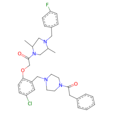 CC1CN(C(=O)COc2ccc(Cl)cc2CN2CCN(C(=O)Cc3ccccc3)CC2)C(C)CN1Cc1ccc(F)cc1